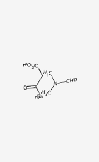 CCCCC(=O)CC(=O)O.CN(C)C=O